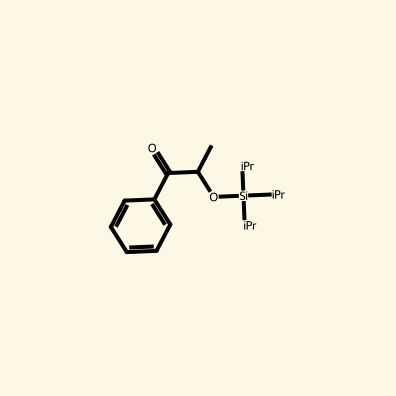 CC(O[Si](C(C)C)(C(C)C)C(C)C)C(=O)c1ccccc1